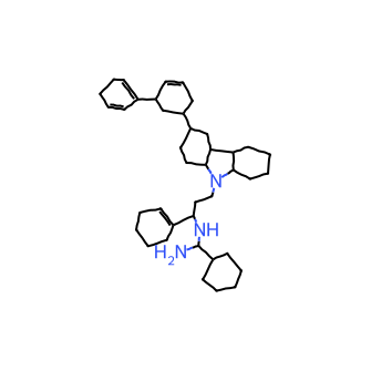 NC(NC(CCN1C2CCCCC2C2CC(C3CC=CC(C4=CCCC=C4)C3)CCC21)C1=CCCCC1)C1CCCCC1